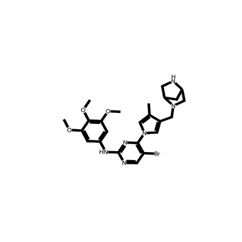 COc1cc(Nc2ncc(Br)c(-n3cc(C)c(CN4CC5CC4CN5)c3)n2)cc(OC)c1OC